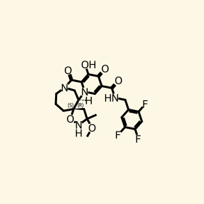 COC1(C)C[C@]2(CCCN3C[C@H]2n2cc(C(=O)NCc4cc(F)c(F)cc4F)c(=O)c(O)c2C3=O)ON1